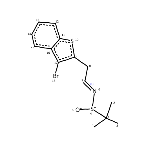 CC(C)(C)[S+]([O-])/N=C/Cc1sc2ccccc2c1Br